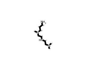 CN(C)CCNCCN(C)CCCN